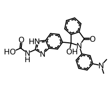 CN(C)c1cccc(N2C(=O)c3ccccc3C2(O)c2ccc3[nH]c(NC(=O)O)nc3c2)c1